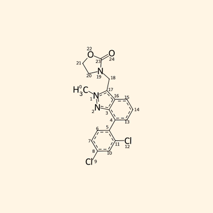 Cn1nc2c(-c3ccc(Cl)cc3Cl)cccc2c1CN1CCOC1=O